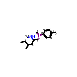 C=[PH](CC(CC(C)CC)NC)c1ccc(C)cc1